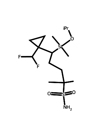 CC(C)O[Si](C)(C)C(CCC(C)(C)S(N)(=O)=O)C1(C(F)F)CC1